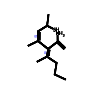 C=C(N)C(/C(C)=C\C(C)S)=C(/C)CCC